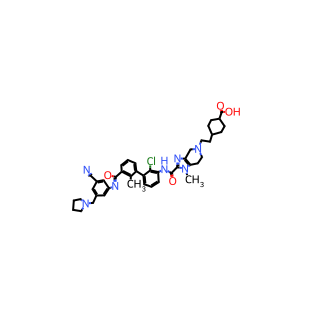 Cc1c(-c2nc3cc(CN4CCCC4)cc(C#N)c3o2)cccc1-c1cccc(NC(=O)c2nc3c(n2C)CCN(CCC2CCC(C(=O)O)CC2)C3)c1Cl